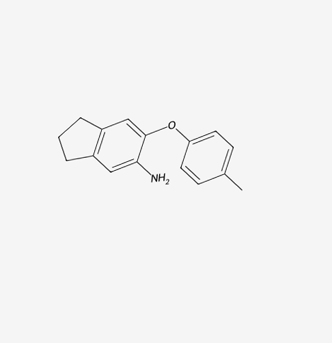 Cc1ccc(Oc2cc3c(cc2N)CCC3)cc1